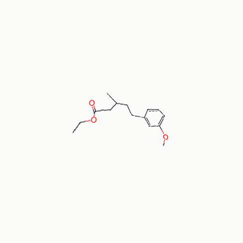 CCOC(=O)CC(C)CCc1cccc(OC)c1